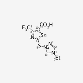 CCN1C=NN(Sc2nc(C(F)(F)F)c(C(=O)O)s2)C1